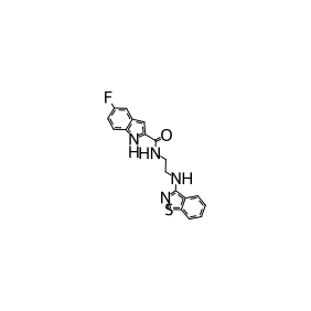 O=C(NCCNc1nsc2ccccc12)c1cc2cc(F)ccc2[nH]1